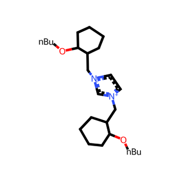 CCCCOC1CCCCC1Cn1cc[n+](CC2CCCCC2OCCCC)c1